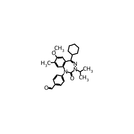 COc1cc2c(cc1C)N(c1ccc(C=O)cc1)C(=O)N(C(C)C)N=C2C1CCCCC1